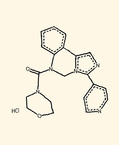 Cl.O=C(N1CCOCC1)N1Cn2c(cnc2-c2ccncc2)-c2ccccc21